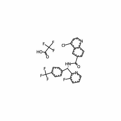 O=C(N[C@@H](c1ccc(C(F)(F)F)cc1)c1ncccc1F)c1ccc2nccc(Cl)c2c1.O=C(O)C(F)(F)F